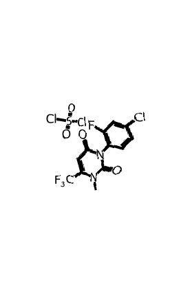 Cn1c(C(F)(F)F)cc(=O)n(-c2ccc(Cl)cc2F)c1=O.O=S(=O)(Cl)Cl